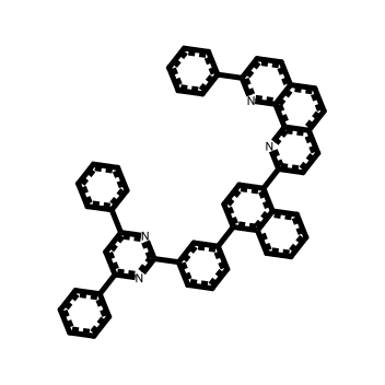 c1ccc(-c2cc(-c3ccccc3)nc(-c3cccc(-c4ccc(-c5ccc6ccc7ccc(-c8ccccc8)nc7c6n5)c5ccccc45)c3)n2)cc1